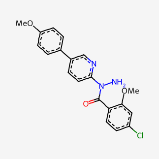 COc1ccc(-c2ccc(N(N)C(=O)c3ccc(Cl)cc3OC)nc2)cc1